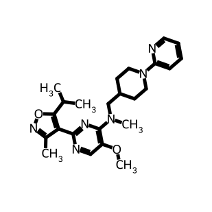 COc1cnc(-c2c(C)noc2C(C)C)nc1N(C)CC1CCN(c2ccccn2)CC1